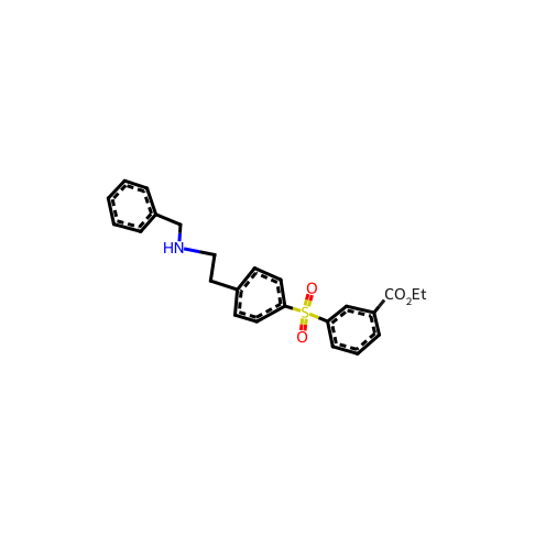 CCOC(=O)c1cccc(S(=O)(=O)c2ccc(CCNCc3ccccc3)cc2)c1